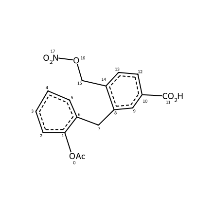 CC(=O)Oc1ccccc1Cc1cc(C(=O)O)ccc1CO[N+](=O)[O-]